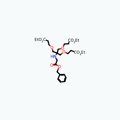 CCOC(=O)CCOCC(COCCC(=O)OCC)(COCCC(=O)OCC)NCC(=O)OCc1ccccc1